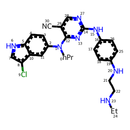 CCCN(c1ccc2[nH]cc(Cl)c2c1)c1nc(Nc2ccc(NCCNCC)cc2)ncc1C#N